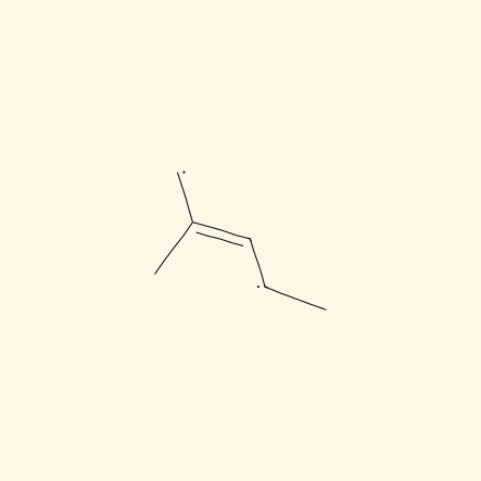 [CH2]/C(C)=C/[CH]C